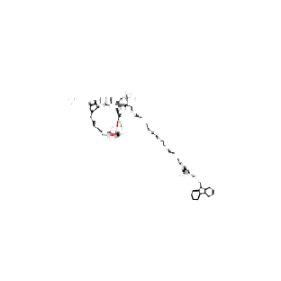 COc1cc2cc(c1Cl)N(C)C(=O)C[C@H](OC(=O)[C@H](C)N(C)C(=O)CCOCCOCCOCCOCCOCCOCCNC(=O)CNC(=O)OCC1c3ccccc3-c3ccccc31)[C@]1(C)OC1[C@H](C)[C@@H]1C[C@H](C/C=C/C=C(\C)C2)NC(=O)O1